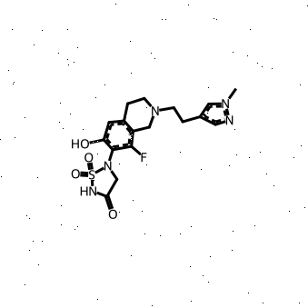 Cn1cc(CCN2CCc3cc(O)c(N4CC(=O)NS4(=O)=O)c(F)c3C2)cn1